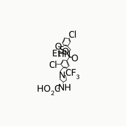 CCS(=O)(=O)c1ccc(Cl)cc1CNC(=O)c1cc(Cl)c(CN2CC[C@H](NC(=O)O)C2)c(C(F)(F)F)c1